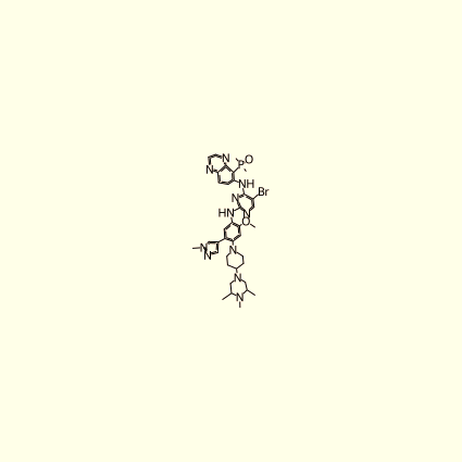 COc1cc(N2CCC(N3CC(C)N(C)C(C)C3)CC2)c(-c2cnn(C)c2)cc1Nc1ncc(Br)c(Nc2ccc3nccnc3c2P(C)(C)=O)n1